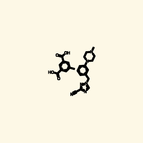 CN1CCN(c2cccc(Cn3cnc(C#N)n3)c2)CC1.Cc1cc(C(=O)O)cc(C(=O)O)c1